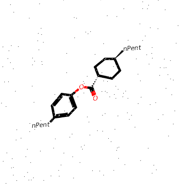 CCCCCc1ccc(OC(=O)[C@H]2CC[C@H](CCCCC)CC2)cc1